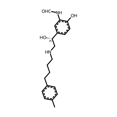 Cc1ccc(CCCCNC[C@H](O)c2ccc(O)c(NC=O)c2)cc1